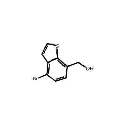 OCc1ccc(Br)c2ccsc12